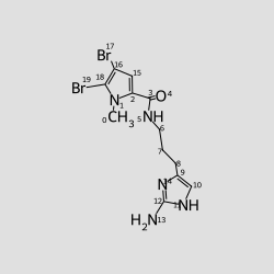 Cn1c(C(=O)NCCCc2c[nH]c(N)n2)cc(Br)c1Br